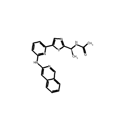 CC(=O)N[C@@H](C)c1ncc(-c2cccc(Nc3cc4ccccc4cn3)n2)s1